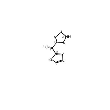 O=C(c1cccs1)C1CCNC1